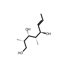 C/C=C/[C@@H](O)[C@H](C)[C@@H](O)[C@@H](C)CO